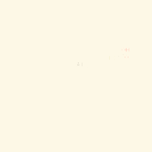 CCCCCCCCCCCCCCCCCCCCCCCCCCCC(CC)C(S)(CC)C(=O)O.[AlH3]